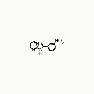 O=[N+]([O-])c1cccc(-c2c[n+]3cccnc3[nH]2)c1